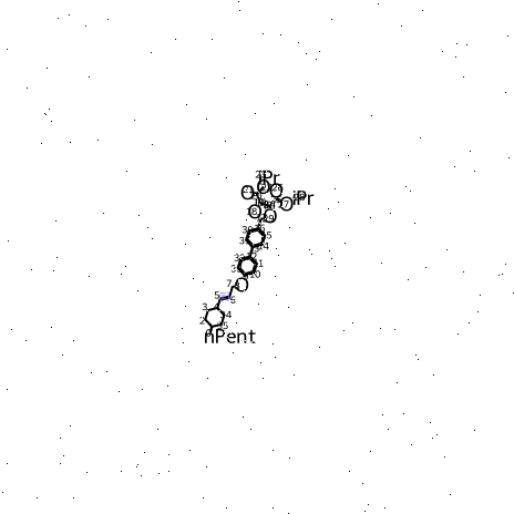 CCCCCC1CCC(/C=C/COc2ccc(-c3ccc(C4O[C@@H](C(=O)OC(C)C)[C@H](C(=O)OC(C)C)O4)cc3)cc2)CC1